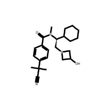 CN(C(=O)c1ccc(C(C)(C)C#N)cc1)[C@H](CN1CC(O)C1)C1CCCCC1